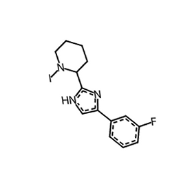 Fc1cccc(-c2c[nH]c(C3CCCCN3I)n2)c1